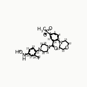 CS(=O)(=O)c1ccc(N2CCOCC2)c(C(=O)N2CCN(c3ccc(NO)cc3F)CC2)c1